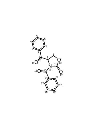 O=C(c1ccccc1)C1COC(=O)N1C(=O)c1ccccc1